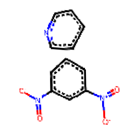 O=[N+]([O-])c1cccc([N+](=O)[O-])c1.c1ccncc1